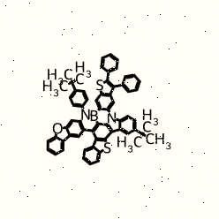 CC(C)(C)c1ccc(N2B3c4cc5sc(-c6ccccc6)c(-c6ccccc6)c5cc4-n4c5ccc(C(C)(C)C)cc5c5c6sc7ccccc7c6c(c3c54)-c3cc4c(cc32)oc2ccccc24)cc1